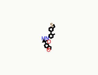 Cc1ccc(NC(=O)C2(c3ccc4c(c3)CCO4)CC2)cc1-c1ccc2sccc2c1